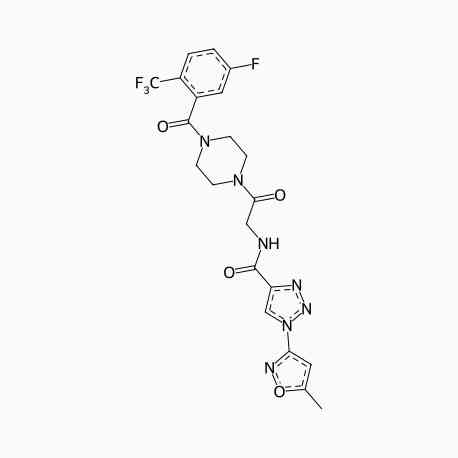 Cc1cc(-n2cc(C(=O)NCC(=O)N3CCN(C(=O)c4cc(F)ccc4C(F)(F)F)CC3)nn2)no1